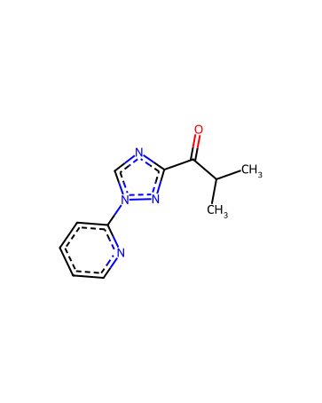 CC(C)C(=O)c1ncn(-c2ccccn2)n1